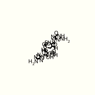 Nc1nc2c(ncn2[C@@H]2O[C@@H]3COP(=O)(O)OC4C(O)[C@H](n5cnc6c(N)ncnc65)O[C@@H]4COP(=O)(S)OC2C3CCS)c(=O)[nH]1